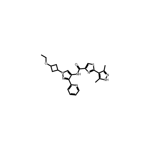 CCOC1CC(n2cc(NC(=O)c3csc(-c4c(C)n[nH]c4C)n3)c(-c3ccccn3)n2)C1